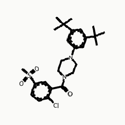 CC(C)(C)c1cc(N2CCN(C(=O)c3cc(S(C)(=O)=O)ccc3Cl)CC2)cc(C(C)(C)C)c1